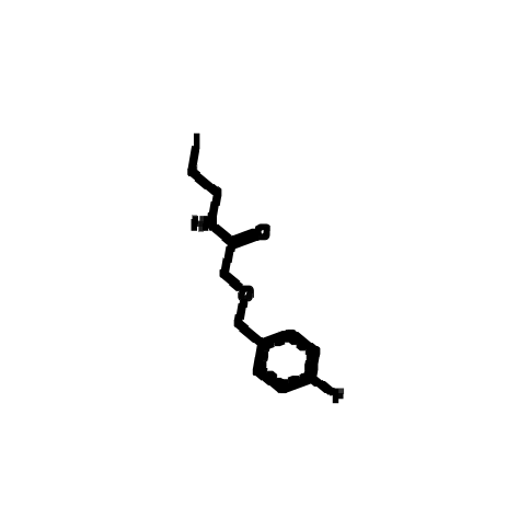 O=C(COCc1ccc(F)cc1)NCCI